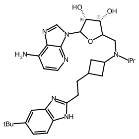 CC(C)N(CC1OC(n2cnc3c(N)ccnc32)[C@H](O)[C@@H]1O)C1CC(CCc2nc3cc(C(C)(C)C)ccc3[nH]2)C1